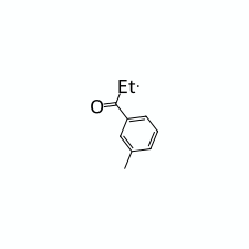 C[CH]C(=O)c1cccc(C)c1